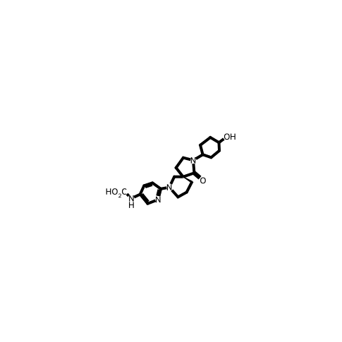 O=C(O)Nc1ccc(N2CCC[C@]3(CCN(C4CCC(O)CC4)C3=O)C2)nc1